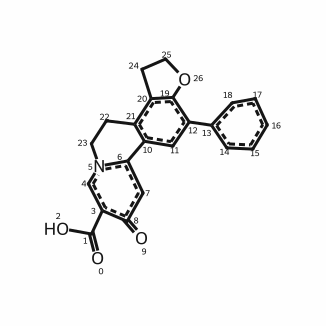 O=C(O)c1cn2c(cc1=O)-c1cc(-c3ccccc3)c3c(c1CC2)CCO3